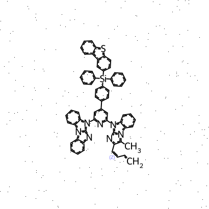 C=C/C=C\c1nc2n(-c3cc(-c4ccc([Si](c5ccccc5)(c5ccccc5)c5ccc6sc7ccccc7c6c5)cc4)cc(-n4c5ccccc5n5c6ccccc6nc45)n3)c3ccccc3n2c1C